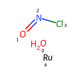 O.O=NCl.[Ru]